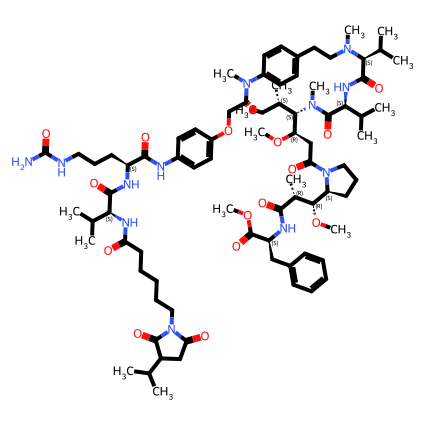 CC[C@H](C)[C@@H]([C@@H](CC(=O)N1CCC[C@H]1[C@H](OC)[C@@H](C)C(=O)N[C@@H](Cc1ccccc1)C(=O)OC)OC)N(C)C(=O)[C@@H](NC(=O)[C@H](C(C)C)N(C)CCc1ccc(N(C)C(=O)COc2ccc(NC(=O)[C@H](CCCNC(N)=O)NC(=O)[C@@H](NC(=O)CCCCCN3C(=O)CC(C(C)C)C3=O)C(C)C)cc2)cc1)C(C)C